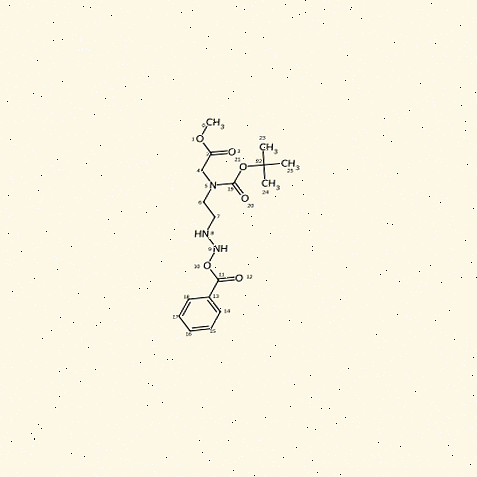 COC(=O)CN(CCNNOC(=O)c1ccccc1)C(=O)OC(C)(C)C